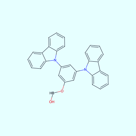 OBOc1cc(-n2c3ccccc3c3ccccc32)cc(-n2c3ccccc3c3ccccc32)c1